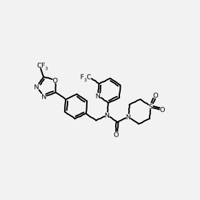 O=C(N1CCS(=O)(=O)CC1)N(Cc1ccc(-c2nnc(C(F)(F)F)o2)cc1)c1cccc(C(F)(F)F)n1